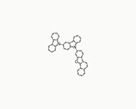 c1ccc2c(c1)ccc1c3ccc(-n4c5ccccc5c5cc(-n6c7ccccc7c7ccccc76)ccc54)cc3oc21